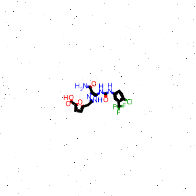 NC(=O)c1nc(Cc2ccc(C(=O)O)o2)[nH]c1NC(=O)Nc1ccc(Cl)c(C(F)(F)F)c1